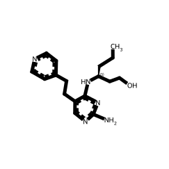 CCC[C@@H](CCO)Nc1nc(N)ncc1CCc1ccncc1